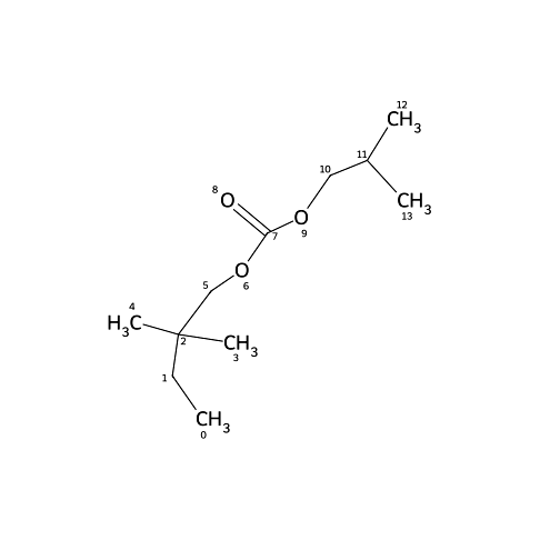 CCC(C)(C)COC(=O)OCC(C)C